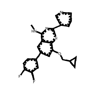 CNc1nc(-c2cccnc2)nc2c(OCC3CC3)cc(-c3ccc(F)c(F)c3)cc12